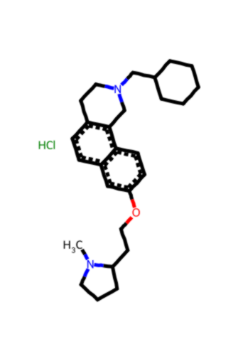 CN1CCCC1CCOc1ccc2c3c(ccc2c1)CCN(CC1CCCCC1)C3.Cl